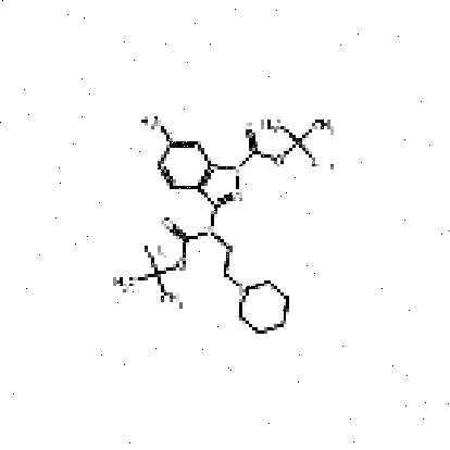 CC(C)(C)OC(=O)N(CCN1CCCCC1)c1nn(C(=O)OC(C)(C)C)c2cc(N)ccc12